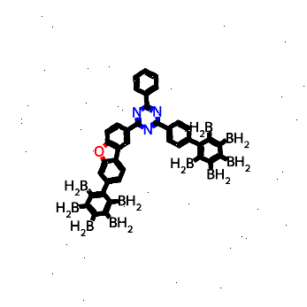 Bc1c(B)c(B)c(-c2ccc(-c3nc(-c4ccccc4)nc(-c4ccc5oc6cc(-c7c(B)c(B)c(B)c(B)c7B)ccc6c5c4)n3)cc2)c(B)c1B